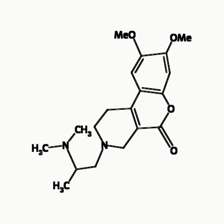 COc1cc2oc(=O)c3c(c2cc1OC)CCN(CC(C)N(C)C)C3